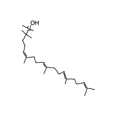 CC(C)=CCC/C(C)=C/CC/C(C)=C/CC/C(C)=C\CCC(C)(C)[Si](C)(C)O